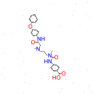 CN(CCCN(C)C(=O)Nc1ccc(C(=O)O)cc1)CC(=O)Nc1ccc(Oc2ccccc2)cc1